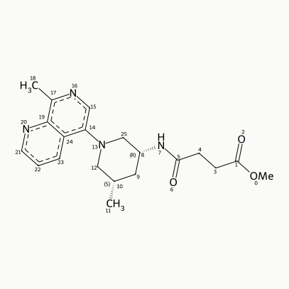 COC(=O)CCC(=O)N[C@@H]1C[C@H](C)CN(c2cnc(C)c3ncccc23)C1